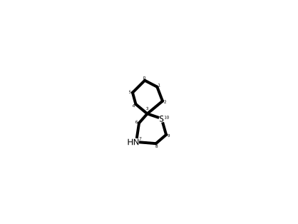 C1CCC2(CC1)CNCCS2